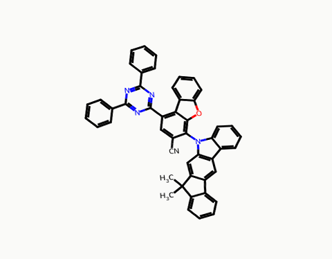 CC1(C)c2ccccc2-c2cc3c4ccccc4n(-c4c(C#N)cc(-c5nc(-c6ccccc6)nc(-c6ccccc6)n5)c5c4oc4ccccc45)c3cc21